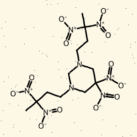 CC(CCN1CN(CCC(C)([N+](=O)[O-])[N+](=O)[O-])CC([N+](=O)[O-])([N+](=O)[O-])C1)([N+](=O)[O-])[N+](=O)[O-]